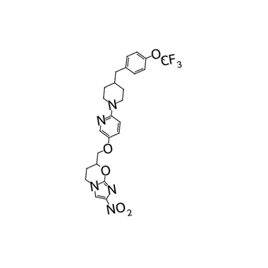 O=[N+]([O-])c1cn2c(n1)OC(COc1ccc(N3CCC(Cc4ccc(OC(F)(F)F)cc4)CC3)nc1)CC2